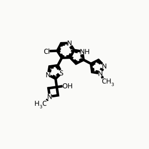 CN1CC(O)(c2ncc(-c3c(Cl)cnc4[nH]c(-c5cnn(C)c5)cc34)s2)C1